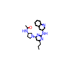 CCCc1cc(N2CCC(NC(C)=O)C2)nc(Nc2cnc3ccccc3c2)n1